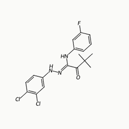 CC(C)(C)C(=O)/C(=N/Nc1ccc(Cl)c(Cl)c1)Nc1cccc(F)c1